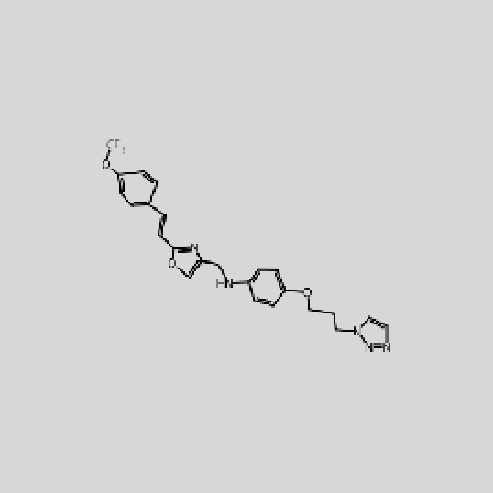 FC(F)(F)Oc1ccc(/C=C/c2nc(CNc3ccc(OCCCn4ccnn4)cc3)co2)cc1